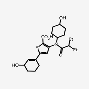 CCC(CC)C(=O)N(c1cc(C2=CC(O)CCC2)sc1C(=O)O)C1CCC(O)CC1